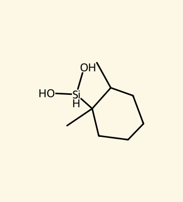 CC1CCCCC1(C)[SiH](O)O